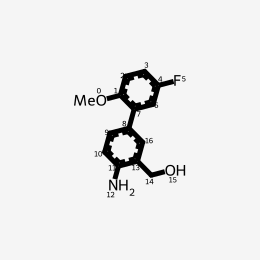 COc1ccc(F)cc1-c1ccc(N)c(CO)c1